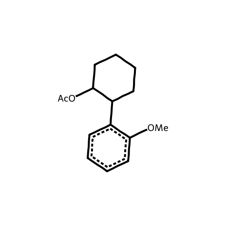 COc1ccccc1C1CCCCC1OC(C)=O